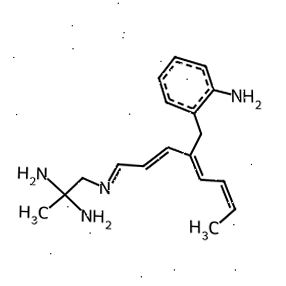 C\C=C/C=C(/C=C/C=N/CC(C)(N)N)Cc1ccccc1N